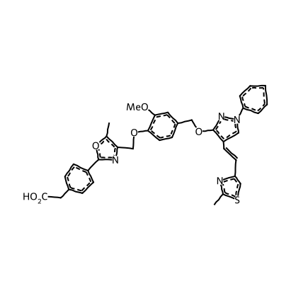 COc1cc(COc2nn(-c3ccccc3)cc2C=Cc2csc(C)n2)ccc1OCc1nc(-c2ccc(CC(=O)O)cc2)oc1C